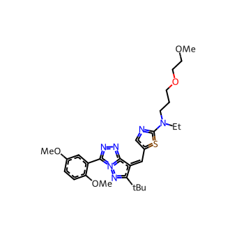 CCN(CCCOCCOC)c1ncc(/C=c2/c(C(C)(C)C)nn3c(-c4cc(OC)ccc4OC)nnc23)s1